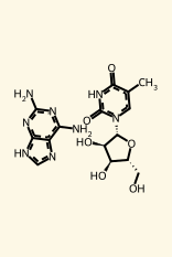 Cc1cn([C@@H]2O[C@H](CO)[C@@H](O)[C@H]2O)c(=O)[nH]c1=O.Nc1nc(N)c2nc[nH]c2n1